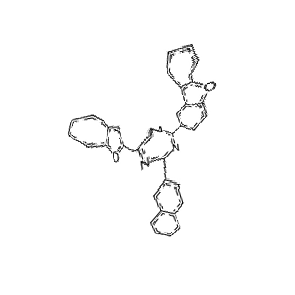 c1ccc2cc(-c3nc(-c4ccc5oc6ccccc6c5c4)nc(-c4cc5ccccc5o4)n3)ccc2c1